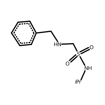 CC(C)NS(=O)(=O)CNCc1ccccc1